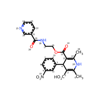 CC1=C(C(=O)O)C(c2cccc([N+](=O)[O-])c2)C(C(=O)OCCNC(=O)c2cccnc2)=C(C)N1